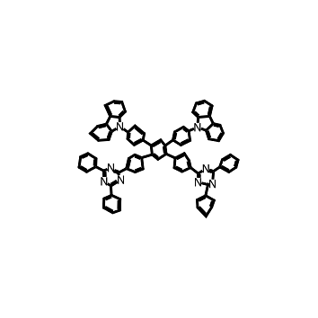 c1ccc(-c2nc(-c3ccccc3)nc(-c3ccc(-c4cc(-c5ccc(-c6nc(-c7ccccc7)nc(-c7ccccc7)n6)cc5)c(-c5ccc(-n6c7ccccc7c7ccccc76)cc5)cc4-c4ccc(-n5c6ccccc6c6ccccc65)cc4)cc3)n2)cc1